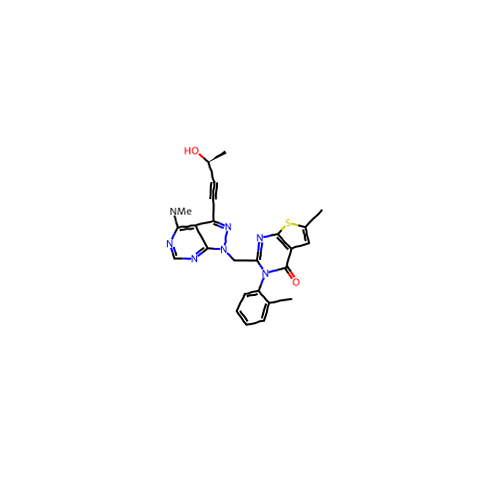 CNc1ncnc2c1c(C#C[C@H](C)O)nn2Cc1nc2sc(C)cc2c(=O)n1-c1ccccc1C